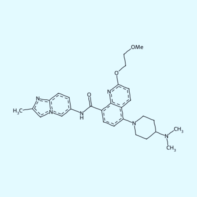 COCCOc1ccc2c(N3CCC(N(C)C)CC3)ccc(C(=O)Nc3ccc4nc(C)cn4c3)c2n1